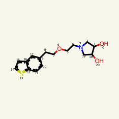 OC1CN(CCOCCc2ccc3sccc3c2)CC1O